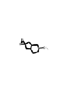 CN1CCC2CC3(CC2C1)N=N3